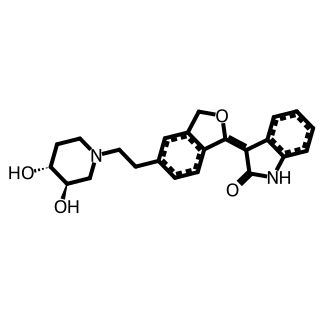 O=C1Nc2ccccc2C1=C1OCc2cc(CCN3CC[C@@H](O)[C@H](O)C3)ccc21